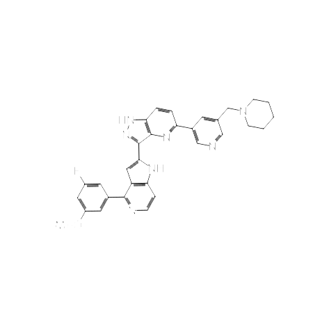 COc1cc(F)cc(-c2nccc3[nH]c(-c4n[nH]c5ccc(-c6cncc(CN7CCCCC7)c6)nc45)cc23)c1